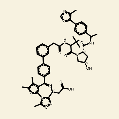 Cc1ncsc1-c1ccc(C(C)NC(=O)[C@@H]2C[C@@H](O)CN2C(=O)C(NC(=O)Cc2cccc(-c3ccc(C4=N[C@@H](CC(=O)O)c5nnc(C)n5-c5sc(C)c(C)c54)cc3)c2)C(C)(C)C)cc1